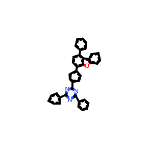 c1ccc(-c2nc(-c3ccccc3)nc(-c3ccc(-c4ccc(-c5ccccc5)c5c4oc4ccccc45)cc3)n2)cc1